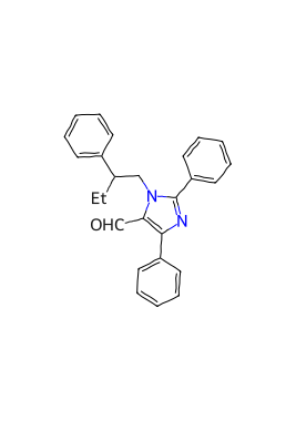 CCC(Cn1c(-c2ccccc2)nc(-c2ccccc2)c1C=O)c1ccccc1